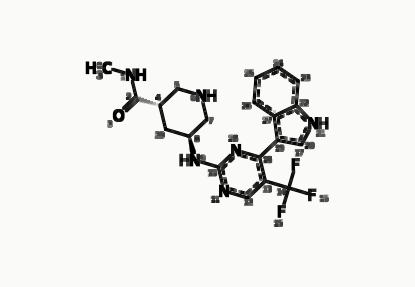 CNC(=O)[C@@H]1CNC[C@@H](Nc2ncc(C(F)(F)F)c(-c3c[nH]c4ccccc34)n2)C1